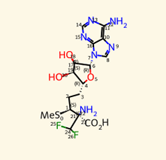 CS[C@@H](CC[C@H]1O[C@@H](n2cnc3c(N)ncnc32)[C@H](O)[C@@H]1O)[C@](N)(C(=O)O)C(F)F